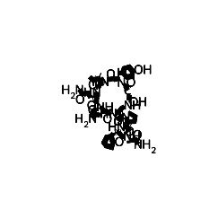 CC[C@H](C)[C@@H]1NC(=O)[C@H](Cc2ccc(O)cc2)NC(=O)CCC(O)NC[C@@H](C(=O)N2CCC[C@H]2C(=O)N[C@@H](Cc2ccccc2)C(=O)NCC(N)=O)NC(=O)[C@H](CC(N)=O)NC(=O)[C@H](CCC(N)=O)NC1=O